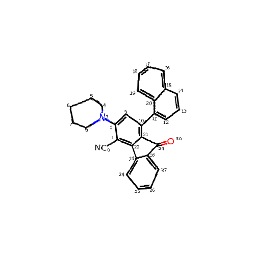 N#Cc1c(N2CCCCC2)cc(-c2cccc3ccccc23)c2c1-c1ccccc1C2=O